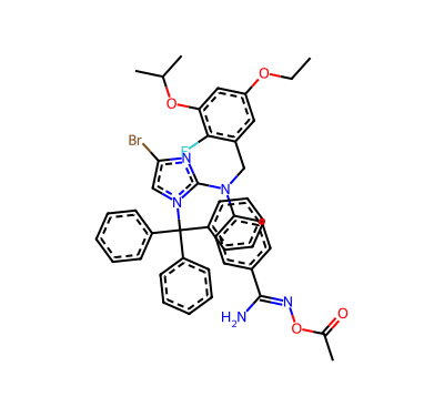 CCOc1cc(CN(c2ccc(C(N)=NOC(C)=O)cc2)c2nc(Br)cn2C(c2ccccc2)(c2ccccc2)c2ccccc2)c(F)c(OC(C)C)c1